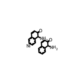 NC1C(=O)C=Cc2ccccc21.NC1C(=O)C=Cc2ccccc21.[Ni]